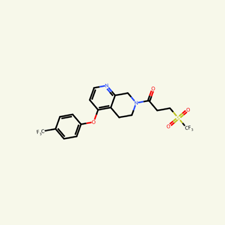 O=C(CCS(=O)(=O)C(F)(F)F)N1CCc2c(Oc3ccc(C(F)(F)F)cc3)ccnc2C1